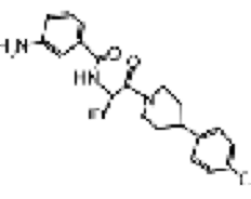 CC(C)C(NC(=O)c1cccc(N)c1)C(=O)N1CCC(c2ccc(Cl)cc2)CC1